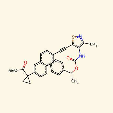 COC(=O)C1(c2ccc3cc(C#Cc4snc(C)c4NC(=O)O[C@H](C)c4ccccc4)ccc3c2)CC1